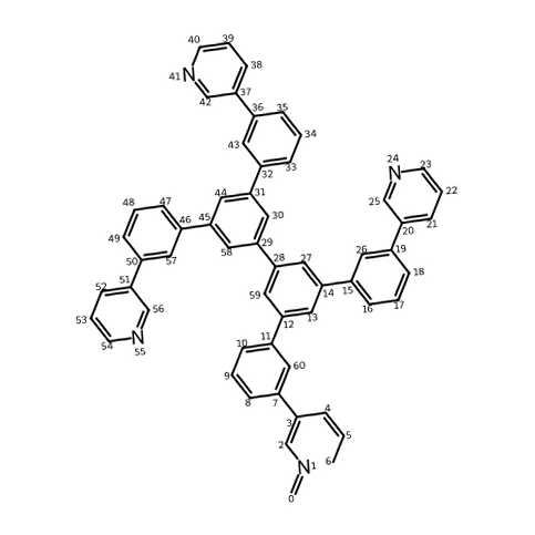 C=N/C=C(\C=C/C)c1cccc(-c2cc(-c3cccc(-c4cccnc4)c3)cc(-c3cc(-c4cccc(-c5cccnc5)c4)cc(-c4cccc(-c5cccnc5)c4)c3)c2)c1